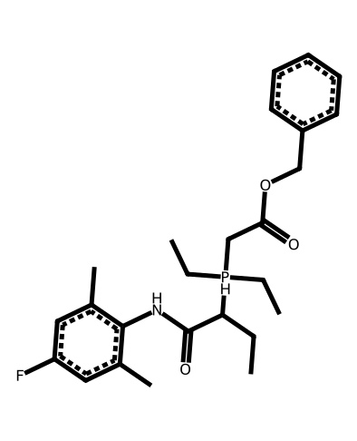 CCC(C(=O)Nc1c(C)cc(F)cc1C)[PH](CC)(CC)CC(=O)OCc1ccccc1